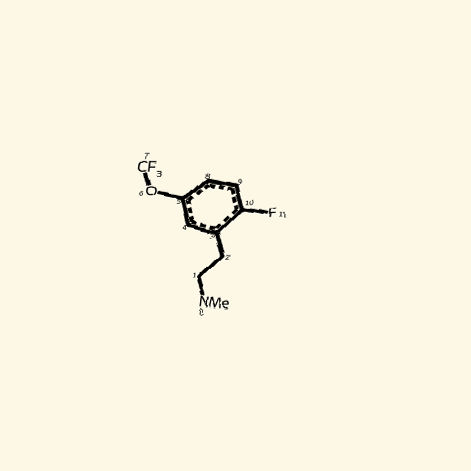 CNCCc1cc(OC(F)(F)F)ccc1F